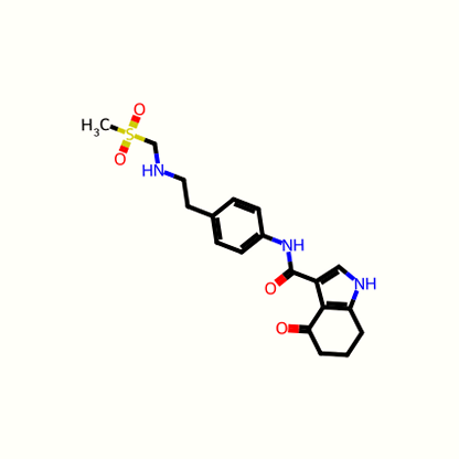 CS(=O)(=O)CNCCc1ccc(NC(=O)c2c[nH]c3c2C(=O)CCC3)cc1